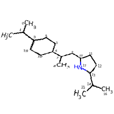 CC(C)C1CCC(C(C)CC2CCC(C(C)C)N2)CC1